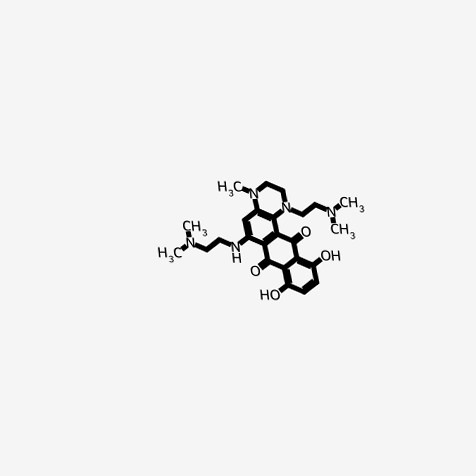 CN(C)CCNc1cc2c(c3c1C(=O)c1c(O)ccc(O)c1C3=O)N(CCN(C)C)CCN2C